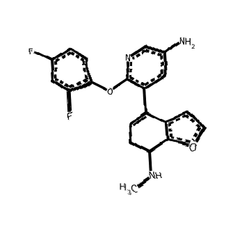 CNC1CC=C(c2cc(N)cnc2Oc2ccc(F)cc2F)c2ccoc21